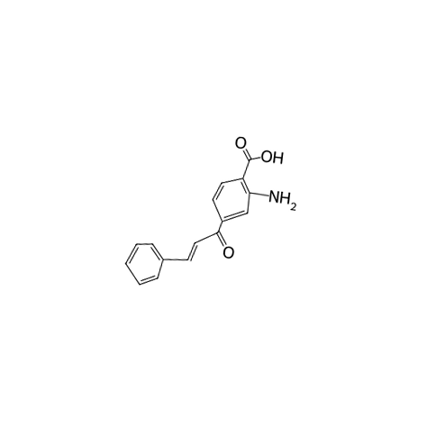 Nc1cc(C(=O)C=Cc2ccccc2)ccc1C(=O)O